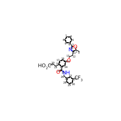 Cc1oc(-c2ccccc2)nc1CCOc1ccc(CCC(=O)O)c(C(=O)NCc2cccc(C(F)(F)F)c2)c1